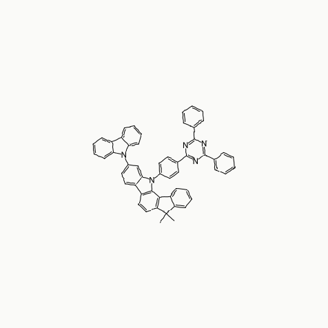 CC1(C)c2ccccc2-c2c1ccc1c3ccc(-n4c5ccccc5c5ccccc54)cc3n(-c3ccc(-c4nc(-c5ccccc5)nc(-c5ccccc5)n4)cc3)c21